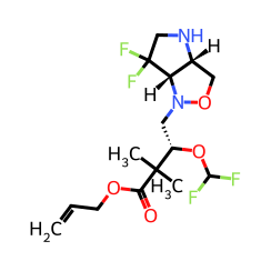 C=CCOC(=O)C(C)(C)[C@H](CN1OC[C@H]2NCC(F)(F)[C@H]21)OC(F)F